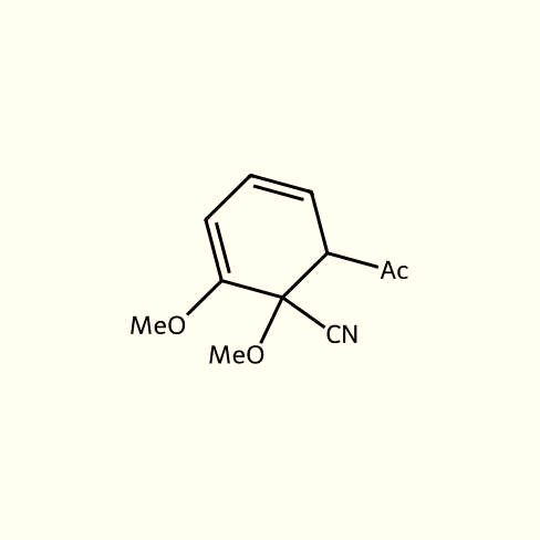 COC1=CC=CC(C(C)=O)C1(C#N)OC